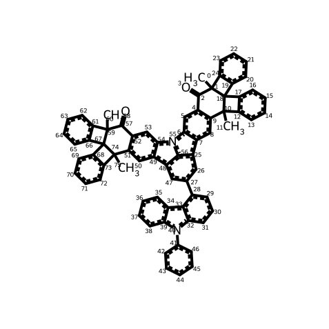 CC12C(=O)c3cc4c(cc3C3(C)c5ccccc5C13c1ccccc12)c1cc(-c2cccc3c2c2ccccc2n3-c2ccccc2)cc2c3cc5c(cc3n4c12)C(=O)C1(C)c2ccccc2C12c1ccccc1C52C